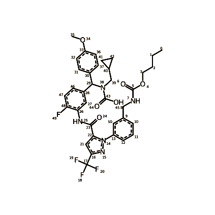 CCCCOC(=O)NCc1cccc(-n2nc(C(F)(F)F)cc2C(=O)Nc2cc(C(c3ccc(OC)cc3)N(CC3CC3)C(=O)O)ccc2F)c1